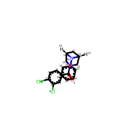 O=C(c1ccc(Cl)c(Cl)c1)N1C[C@H]2C[C@@H](C1)N2c1ccccc1